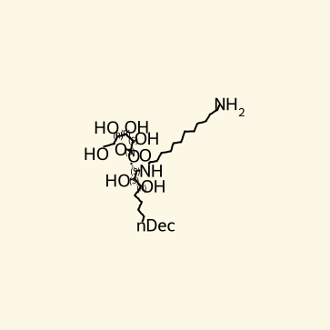 CCCCCCCCCCCCCC[C@@H](O)[C@@H](O)[C@H](CO[C@H]1OC(CO)[C@H](O)[C@@H](O)[C@@H]1O)NC(=O)CCCCCCCCCCCN